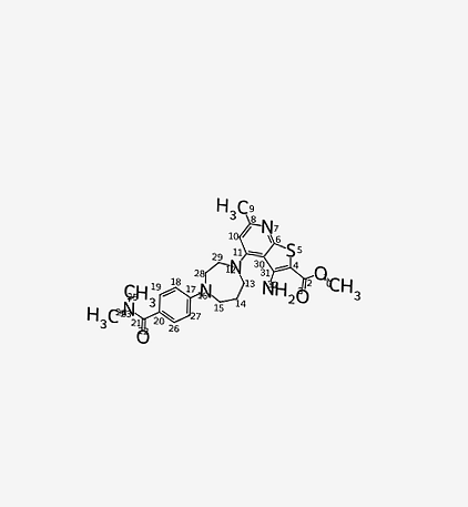 COC(=O)c1sc2nc(C)cc(N3CCCN(c4ccc(C(=O)N(C)C)cc4)CC3)c2c1N